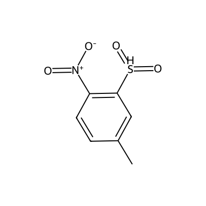 Cc1ccc([N+](=O)[O-])c([SH](=O)=O)c1